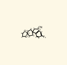 N#CCCC1(c2ccc(F)cc2)CCC2(CC1)OCCO2